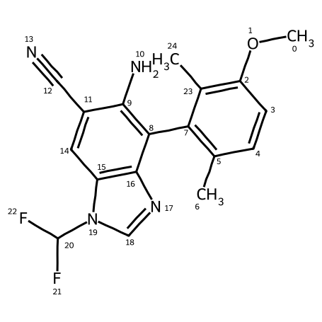 COc1ccc(C)c(-c2c(N)c(C#N)cc3c2ncn3C(F)F)c1C